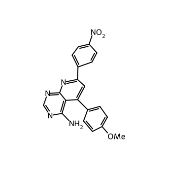 COc1ccc(-c2cc(-c3ccc([N+](=O)[O-])cc3)nc3ncnc(N)c23)cc1